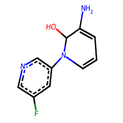 NC1=CC=CN(c2cncc(F)c2)C1O